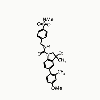 CCC1(C)CN(C(=O)NCc2ccc(S(=O)(=O)NC)cc2)c2ccc(-c3ccc(OC)cc3C(F)(F)F)cc21